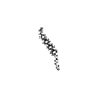 CCCCCCCCCC1CC=C(c2ccc(-c3ccc([C@H]4CC[C@H](CCCC)CC4)cc3)cc2)CC1